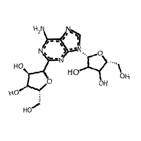 Nc1nc(C2O[C@H](CO)[C@@H](O)[C@H]2O)nc2c1ncn2[C@@H]1O[C@H](CO)C(O)C1O